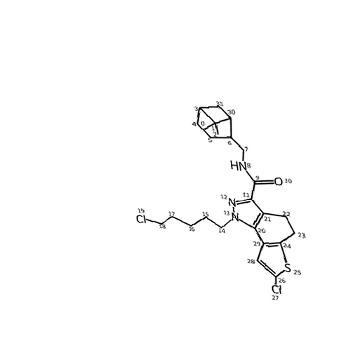 CC1(C)C2CCC(CNC(=O)c3nn(CCCCCCl)c4c3CCc3sc(Cl)cc3-4)C1C2